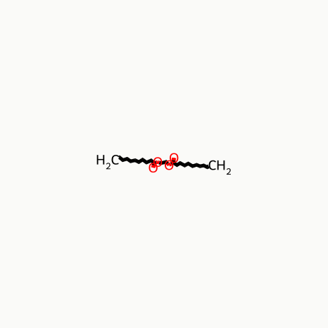 C=CCCCCCCCCC(=O)OCCOC(=O)CCCCCCCCC=C